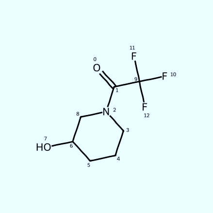 O=C(N1CCCC(O)C1)C(F)(F)F